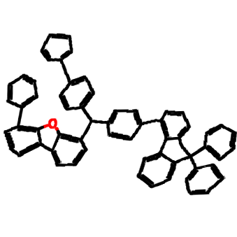 c1ccc(-c2ccc(C(c3ccc(-c4cccc5c4-c4ccccc4C5(c4ccccc4)c4ccccc4)cc3)c3cccc4c3oc3c(-c5ccccc5)cccc34)cc2)cc1